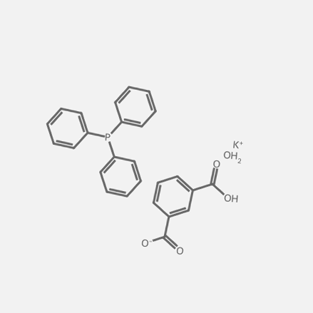 O.O=C([O-])c1cccc(C(=O)O)c1.[K+].c1ccc(P(c2ccccc2)c2ccccc2)cc1